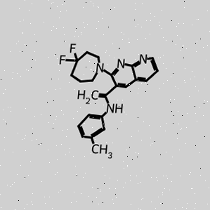 C=C(Nc1cccc(C)c1)c1cc2cccnc2nc1N1CCCC(F)(F)CC1